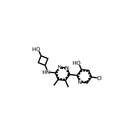 Cc1c(NC2CC(O)C2)nnc(-c2ncc(Cl)cc2O)c1C